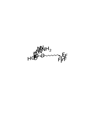 C[C@H](Cn1cnc2c(N)ncnc21)OCP(=O)(O)OCCCOCCCCCCCCCCC#Cc1c(F)c(F)c(F)c(F)c1F